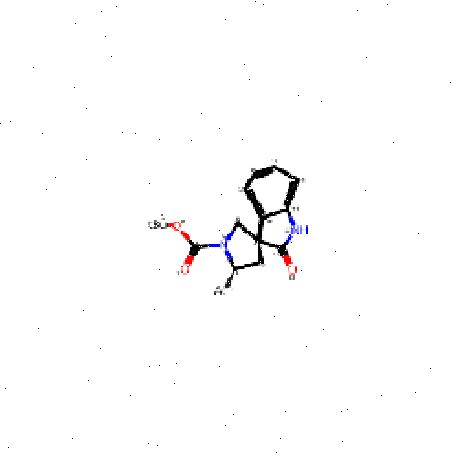 CC(=O)[C@@H]1C[C@]2(CN1C(=O)OC(C)(C)C)C(=O)Nc1ccccc12